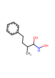 CC(CCc1ccccc1)C(O)NO